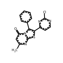 Cc1cc(=O)n2c(-c3ccccc3)c(-c3ccnc(Cl)n3)sc2n1